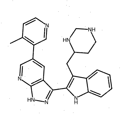 Cc1ccncc1-c1cnc2[nH]nc(-c3[nH]c4ccccc4c3CC3CCNCN3)c2c1